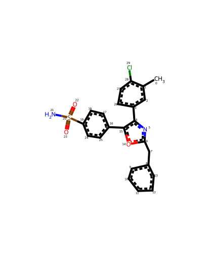 Cc1cc(-c2nc(Cc3ccccc3)oc2-c2ccc(S(N)(=O)=O)cc2)ccc1Cl